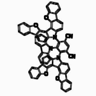 N#Cc1cc(C#N)c(-n2c3ccc4c5ccccc5oc4c3c3c4oc5ccccc5c4ccc32)c(-n2c3ccccc3c3ccccc32)c1-n1c2ccc3c4ccccc4oc3c2c2c3oc4ccccc4c3ccc21